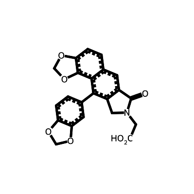 O=C(O)CN1Cc2c(cc3ccc4c(c3c2-c2ccc3c(c2)OCO3)OCO4)C1=O